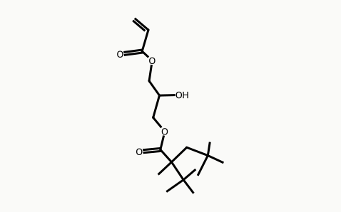 C=CC(=O)OCC(O)COC(=O)C(C)(CC(C)(C)C)C(C)(C)C